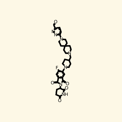 O=Cc1ccc(N2CCC3(CCN(CC4CCN(c5cc6c(cc5F)C(=O)N(C5CCC(=O)NC5=O)C6=O)CC4)CC3)CC2)nn1